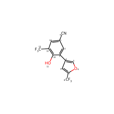 N#Cc1cc(-c2coc(C(F)(F)F)c2)c(O)c(C(F)(F)F)c1